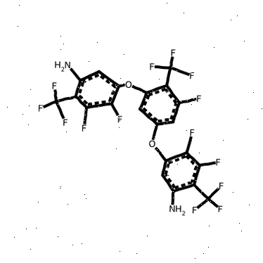 Nc1cc(Oc2cc(F)c(C(F)(F)F)c(Oc3cc(N)c(C(F)(F)F)c(F)c3F)c2)c(F)c(F)c1C(F)(F)F